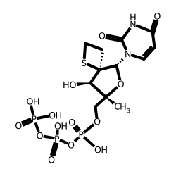 C[C@]1(COP(=O)(O)OP(=O)(O)OP(=O)(O)O)O[C@@H](n2ccc(=O)[nH]c2=O)[C@@]2(CCS2)[C@@H]1O